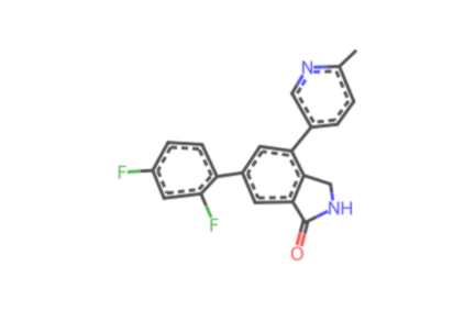 Cc1ccc(-c2cc(-c3ccc(F)cc3F)cc3c2CNC3=O)cn1